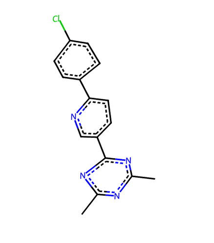 Cc1nc(C)nc(-c2ccc(-c3ccc(Cl)cc3)nc2)n1